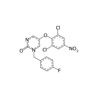 O=c1ncc(Oc2c(Cl)cc([N+](=O)[O-])cc2Cl)cn1Cc1ccc(F)cc1